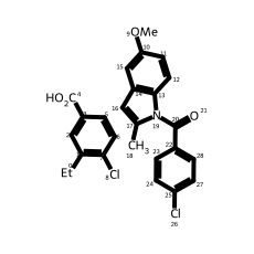 CCc1cc(C(=O)O)ccc1Cl.COc1ccc2c(c1)cc(C)n2C(=O)c1ccc(Cl)cc1